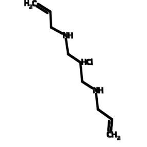 C=CCNCCCNCC=C.Cl